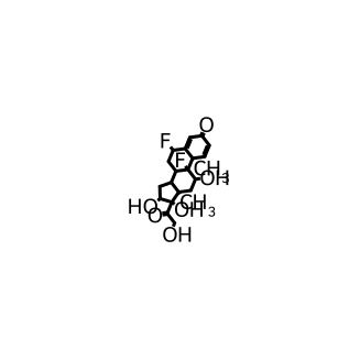 CC12C=CC(=O)C=C1C(F)CC1C3CC(O)C(O)(C(=O)CO)C3(C)CC(O)C12F